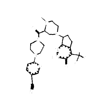 CN1CCN(C2CCc3c2n[nH]c(=O)c3C(F)(F)F)CC1C(=O)N1CCN(c2ccc(C#N)cn2)CC1